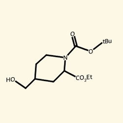 CCOC(=O)C1CC(CO)CCN1C(=O)OC(C)(C)C